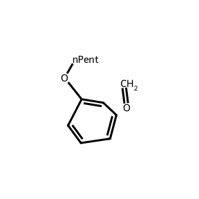 C=O.CCCCCOc1ccccc1